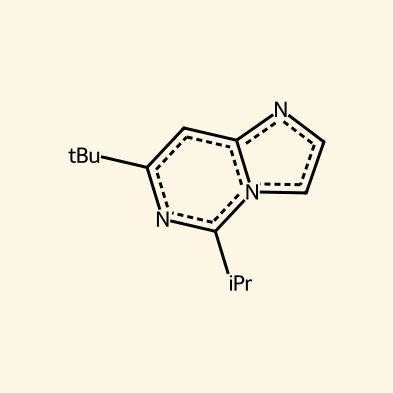 CC(C)c1nc(C(C)(C)C)cc2nccn12